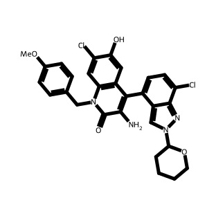 COc1ccc(Cn2c(=O)c(N)c(-c3ccc(Cl)c4nn(C5CCCCO5)cc34)c3cc(O)c(Cl)cc32)cc1